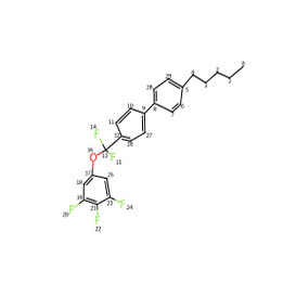 CCCCCc1ccc(-c2ccc(C(F)(F)Oc3cc(F)c(F)c(F)c3)cc2)cc1